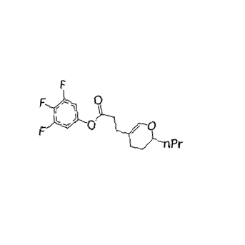 CCCC1CCC(CCC(=O)Oc2cc(F)c(F)c(F)c2)=CO1